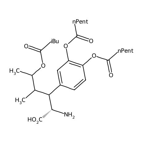 CCCCCC(=O)Oc1ccc(C(C(C)C(C)OC(=O)C(C)CC)[C@H](N)C(=O)O)cc1OC(=O)CCCCC